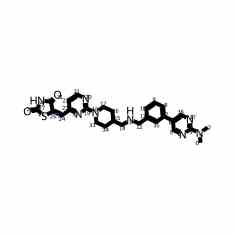 CN(C)c1ncc(-c2cccc(CNCC3CCN(c4nccc(/C=C5/SC(=O)NC5=O)n4)CC3)c2)cn1